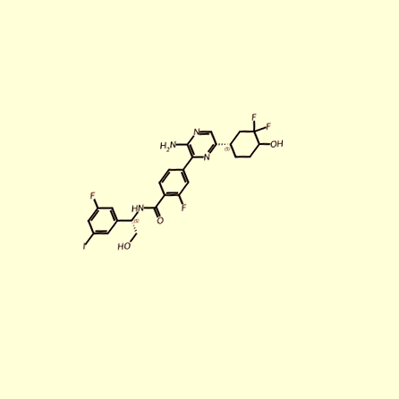 Nc1ncc([C@H]2CCC(O)C(F)(F)C2)nc1-c1ccc(C(=O)N[C@H](CO)c2cc(F)cc(I)c2)c(F)c1